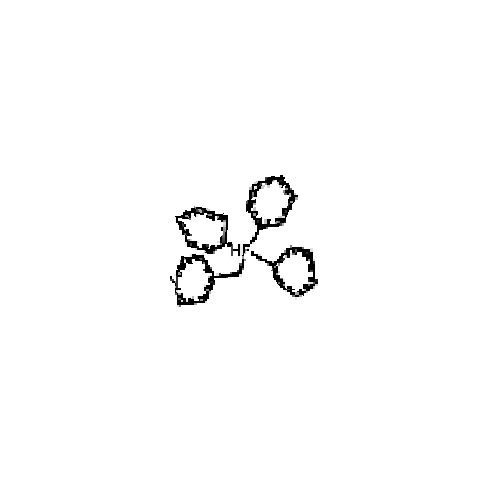 c1ccc([PH](Cc2ccncc2)(c2ccccc2)c2ccccc2)cc1